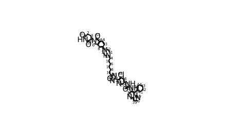 O=C1CCC(N2Cc3cc(N4CCN(CCCCCCc5nc(-c6ncc(NC(=O)Nc7cnc8ccnn8c7C7CCCCC7)cc6Cl)no5)CC4)ccc3C2=O)C(=O)N1